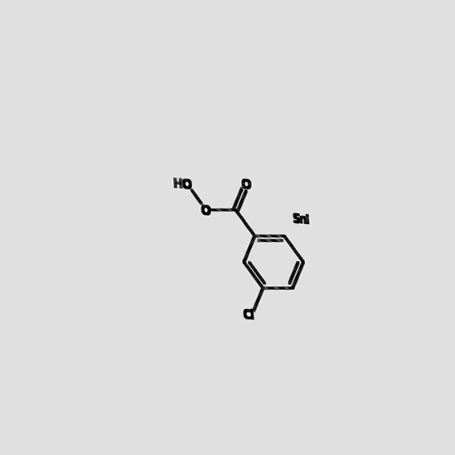 O=C(OO)c1cccc(Cl)c1.[Sn]